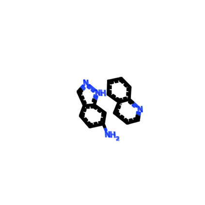 Nc1ccc2cn[nH]c2c1.c1ccc2ncccc2c1